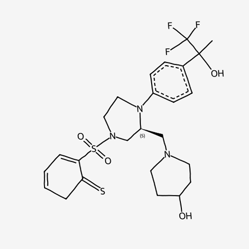 CC(O)(c1ccc(N2CCN(S(=O)(=O)C3=CC=CCC3=S)C[C@@H]2CN2CCC(O)CC2)cc1)C(F)(F)F